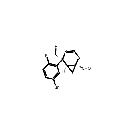 O=C[C@]12C[C@H]1[C@@](CF)(c1cc(Br)ccc1F)N=[C]S2